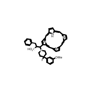 COc1cccc(C2(F)CCN(C(C3=Cc4cc5ccc(cc6nc(cc7ccc(cc3n4)[nH]7)C=C6)[nH]5)C(Cc3ccccc3)C(=O)O)CC2)c1